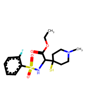 CCOC(=O)C(NS(=O)(=O)c1ccccc1F)C1(S)CCN(C)CC1